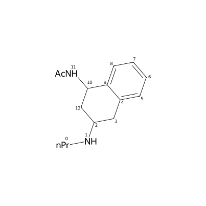 CCCNC1Cc2ccccc2C(NC(C)=O)C1